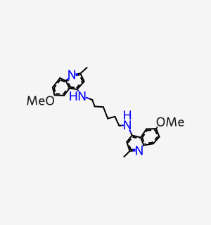 COc1ccc2nc(C)cc(NCCCCCCNc3cc(C)nc4ccc(OC)cc34)c2c1